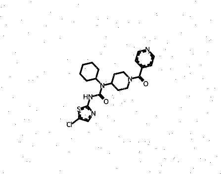 O=C(c1ccncc1)N1CCC(N(C(=O)Nc2ncc(Cl)s2)C2CCCCC2)CC1